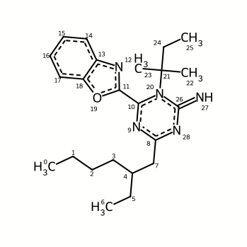 CCCCC(CC)Cc1nc(-c2nc3ccccc3o2)n(C(C)(C)CC)c(=N)n1